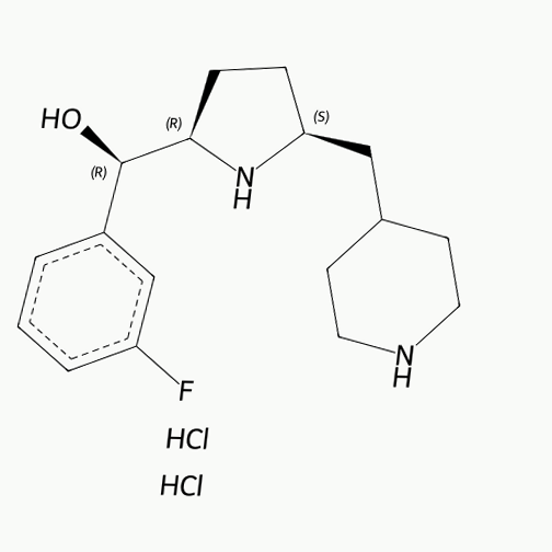 Cl.Cl.O[C@H](c1cccc(F)c1)[C@H]1CC[C@@H](CC2CCNCC2)N1